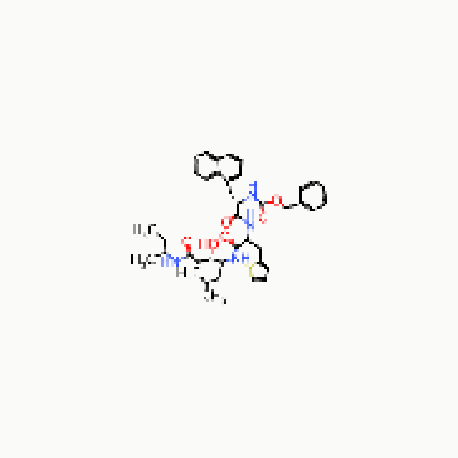 CCC(C)NC(=O)C[C@H](O)[C@H](CC(C)C)NC(=O)C(Cc1cccs1)NC(=O)[C@H](Cc1cccc2ccccc12)NC(=O)OCc1ccccc1